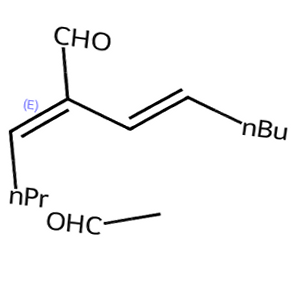 CC=O.CCC/C=C(/C=O)C=CCCCC